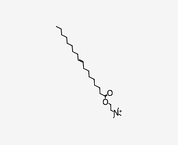 CCCCCCCCC=CCCCCCCCC(=O)OCC[N+](C)(C)C